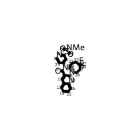 CNS(=O)(=O)c1cc(NC(=O)c2cc3ccccc3nc2N2CCCC(F)(F)CC2)ccn1